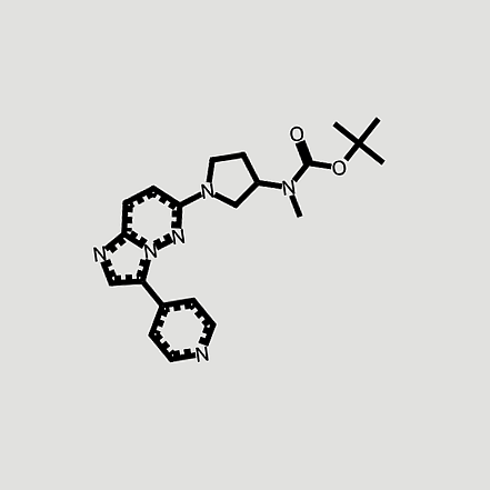 CN(C(=O)OC(C)(C)C)C1CCN(c2ccc3ncc(-c4ccncc4)n3n2)C1